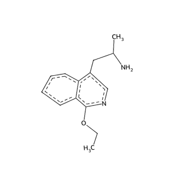 CCOc1ncc(CC(C)N)c2ccccc12